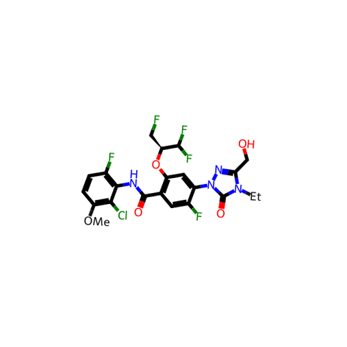 CCn1c(CO)nn(-c2cc(O[C@@H](CF)C(F)F)c(C(=O)Nc3c(F)ccc(OC)c3Cl)cc2F)c1=O